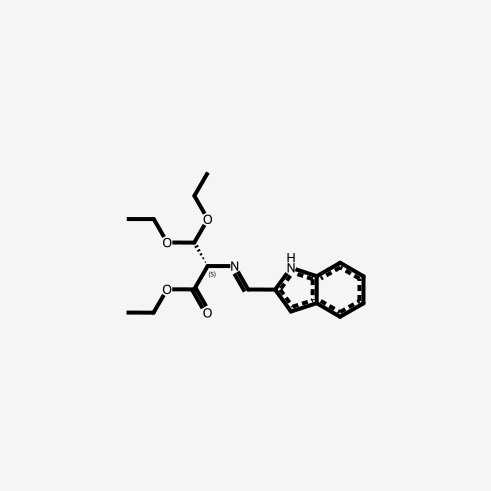 CCOC(=O)[C@@H](N=Cc1cc2ccccc2[nH]1)C(OCC)OCC